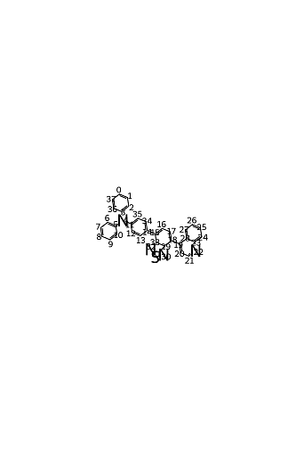 c1ccc(N(c2ccccc2)c2ccc(-c3ccc(-c4ccnc5ccccc45)c4nsnc34)cc2)cc1